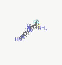 NSc1ccc(-c2cnn3cc(-c4ccc(N5CCNCC5)cc4)cnc23)cc1C(F)(F)F